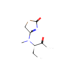 CNC(=O)[C@@H](COC)N(C)C1=NC(=O)SC1